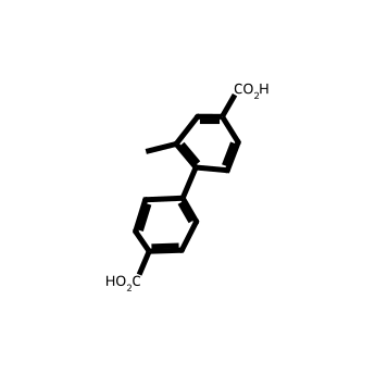 Cc1cc(C(=O)O)ccc1-c1ccc(C(=O)O)cc1